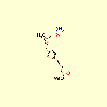 COC(=O)CCC#Cc1ccc(C/C=C/[C@@H](C)CCC(N)=O)cc1